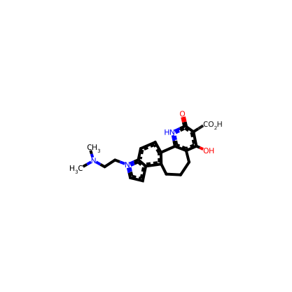 CN(C)CCn1ccc2c3c(ccc21)-c1[nH]c(=O)c(C(=O)O)c(O)c1CCC3